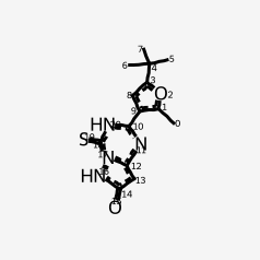 Cc1oc(C(C)(C)C)cc1-c1nc2cc(=O)[nH]n2c(=S)[nH]1